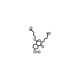 O=CC1CCC(C(=O)OCCCC2CO2)C(C(=O)OCCCC2CO2)C1